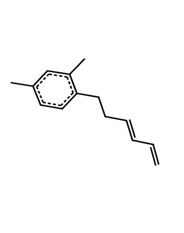 C=CC=CCCc1ccc(C)cc1C